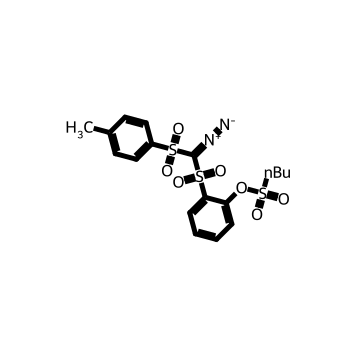 CCCCS(=O)(=O)Oc1ccccc1S(=O)(=O)C(=[N+]=[N-])S(=O)(=O)c1ccc(C)cc1